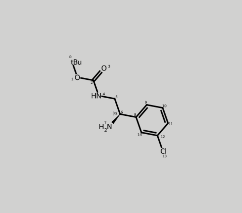 CC(C)(C)OC(=O)NC[C@H](N)c1cccc(Cl)c1